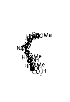 COc1ccc(S(=O)(=O)Nc2ccc(C(=O)NC(CC#N)C(=O)Nc3ccc(C(=O)Nc4ccc(C(=O)Nc5ccc(C(=O)O)c(O)c5OC)c(O)c4OC)cc3)cc2)cc1